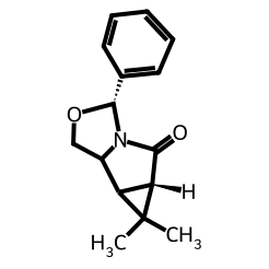 CC1(C)C2C3CO[C@H](c4ccccc4)N3C(=O)[C@@H]21